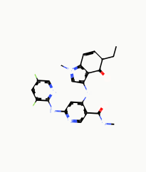 CCC1C=Cc2c(c(Nc3cc(Nc4ncc(F)cc4F)ncc3C(=O)NC)cn2C)C1=O